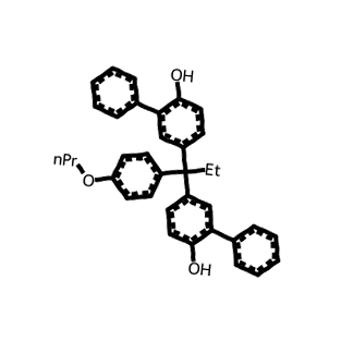 CCCOc1ccc(C(CC)(c2ccc(O)c(-c3ccccc3)c2)c2ccc(O)c(-c3ccccc3)c2)cc1